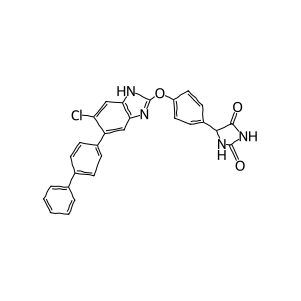 O=C1NC(=O)C(c2ccc(Oc3nc4cc(-c5ccc(-c6ccccc6)cc5)c(Cl)cc4[nH]3)cc2)N1